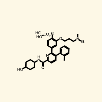 CCN(C)CCCOc1cc(-c2nc(C(=O)NC3CCC(O)CC3)ccc2-c2ccccc2C)ccc1Cl.Cl.O=C(O)O